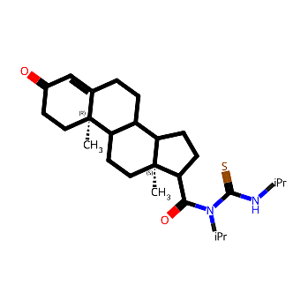 CC(C)NC(=S)N(C(=O)C1CCC2C3CCC4=CC(=O)CC[C@]4(C)C3CC[C@]12C)C(C)C